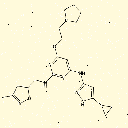 CC1=NOC(CNc2nc(Nc3cc(C4CC4)[nH]n3)cc(OCCN3CCCC3)n2)C1